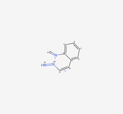 C=Nc1ccccc1/C=C\N=N